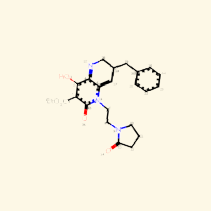 CCOC(=O)c1c(O)c2c(n(CCN3CCCC3=O)c1=O)=CC(Cc1ccccc1)CN=2